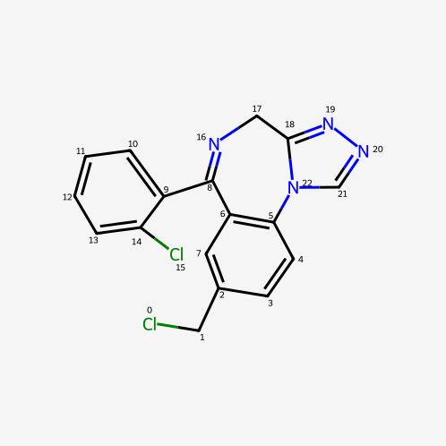 ClCc1ccc2c(c1)C(c1ccccc1Cl)=NCc1nncn1-2